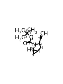 C#CC1CC2C[C@H]2N1C(=O)OC(C)(C)C